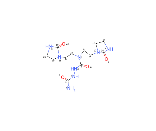 NC(=O)NNC(=O)N(CCN1CCNC1=O)CCN1CCNC1=O